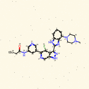 CN1CCN(c2cccc3[nH]c(-c4n[nH]c5cnc(-c6cncc(NC(=O)CC(C)(C)C)c6)c(F)c45)nc23)CC1